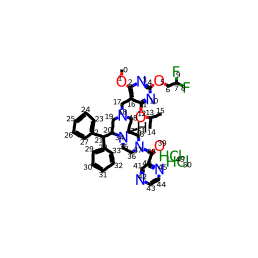 COc1nc(OCC(F)F)nc(OC(C)C)c1CN1CC(C(c2ccccc2)c2ccccc2)N2CCN(C(=O)c3cnccn3)C[C@H]2C1.Cl.Cl